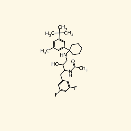 CC(=O)NC(Cc1cc(F)cc(F)c1)C(O)CNC1(c2cc(C)cc(C(C)(C)C)c2)CCCCC1